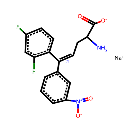 NC(C/C=C(/c1cccc([N+](=O)[O-])c1)c1ccc(F)cc1F)C(=O)[O-].[Na+]